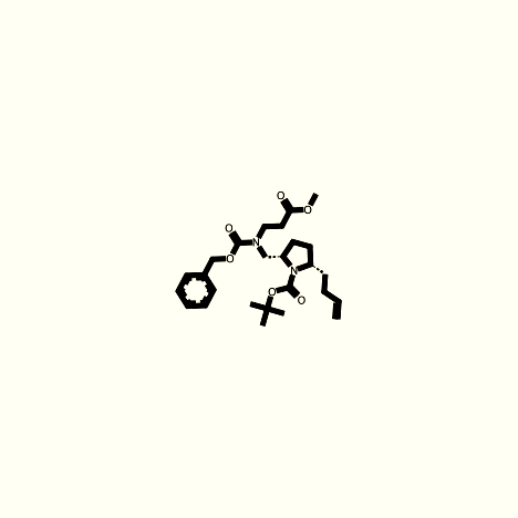 C=CCC[C@H]1CC[C@@H](CN(CCC(=O)OC)C(=O)OCc2ccccc2)N1C(=O)OC(C)(C)C